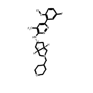 CCOc1ccc(F)cc1-c1cc(C(F)(F)F)c(N[C@@H]2C[C@@H]3CN(CC4CCOCC4)C[C@@H]3C2)nn1